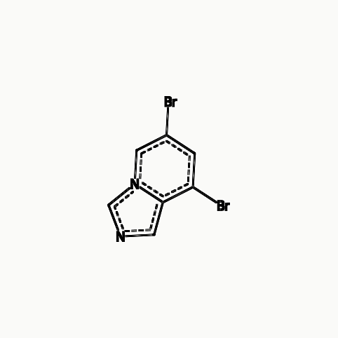 Brc1cc(Br)c2cncn2c1